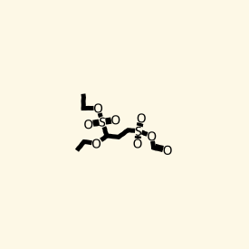 CCOC(CCS(=O)(=O)OC=O)S(=O)(=O)OCC